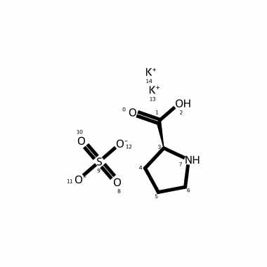 O=C(O)[C@@H]1CCCN1.O=S(=O)([O-])[O-].[K+].[K+]